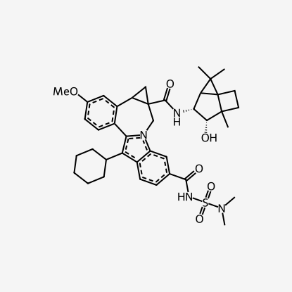 COc1ccc2c(c1)C1CC1(C(=O)N[C@@H]1C3C(C)(C)C34CCC4(C)[C@@H]1O)Cn1c-2c(C2CCCCC2)c2ccc(C(=O)NS(=O)(=O)N(C)C)cc21